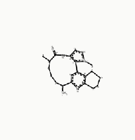 CC1CCCC(N)c2cc(c3c(n2)CCCC3)-c2c(cnn2C)NC1=O